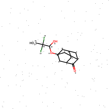 O=C1C2CC3CC1CC(OC(O)C(F)(F)S(=O)(=O)O)(C3)C2